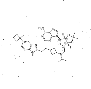 CC(C)N(C[C@H]1O[C@@H](n2cnc3c(N)ncnc32)[C@@H]2OC(C)(C)O[C@@H]21)C1CC(CCc2nc3cc(C4(C)CCC4)ccc3[nH]2)C1